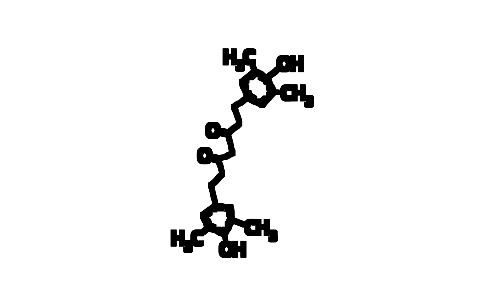 Cc1cc(CCC(=O)CC(=O)CCc2cc(C)c(O)c(C)c2)cc(C)c1O